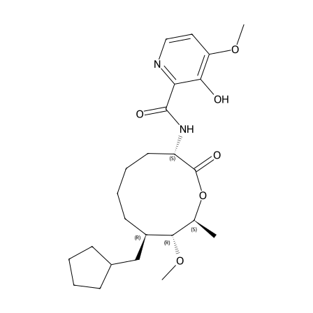 COc1ccnc(C(=O)N[C@H]2CCCC[C@H](CC3CCCC3)[C@@H](OC)[C@H](C)OC2=O)c1O